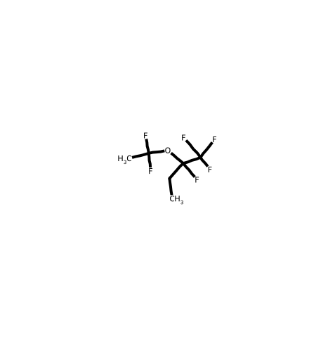 CCC(F)(OC(C)(F)F)C(F)(F)F